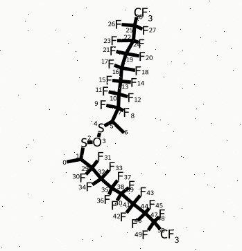 CC(SOSC(C)C(F)(F)C(F)(F)C(F)(F)C(F)(F)C(F)(F)C(F)(F)C(F)(F)C(F)(F)F)C(F)(F)C(F)(F)C(F)(F)C(F)(F)C(F)(F)C(F)(F)C(F)(F)C(F)(F)F